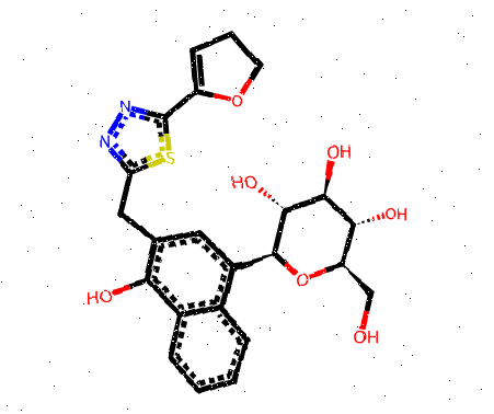 OC[C@H]1O[C@@H](c2cc(Cc3nnc(C4=CCCO4)s3)c(O)c3ccccc23)[C@H](O)[C@@H](O)[C@@H]1O